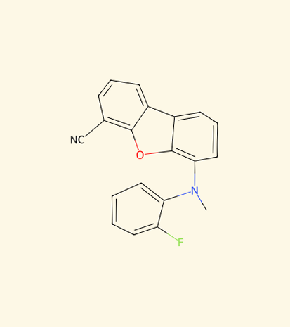 CN(c1ccccc1F)c1cccc2c1oc1c(C#N)cccc12